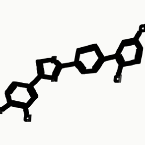 Clc1ccc(Cl)c(-c2ccc(-c3nc(-c4ccc(Cl)c(Cl)c4)cs3)cc2)c1